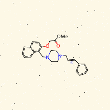 COC(=O)COc1ccc2ccccc2c1CN1CCN(C/C=C/c2ccccc2)CC1